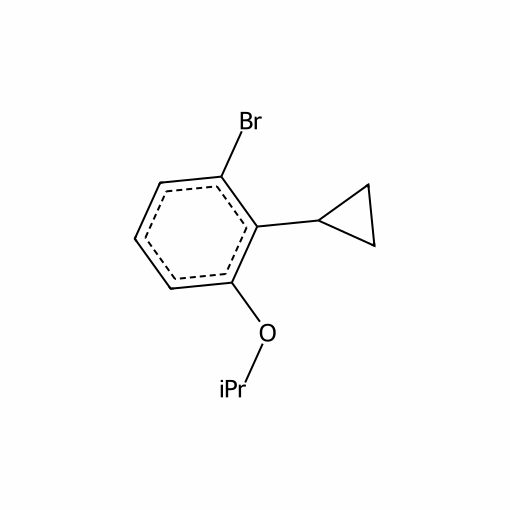 CC(C)Oc1cccc(Br)c1C1CC1